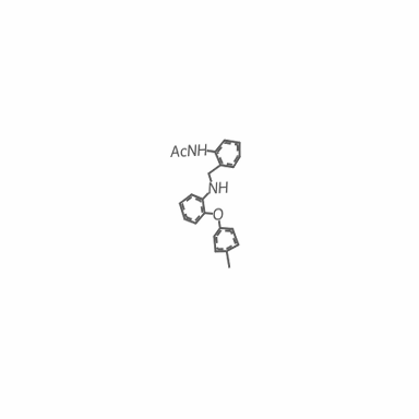 CC(=O)Nc1ccccc1CNc1ccccc1Oc1ccc(C)cc1